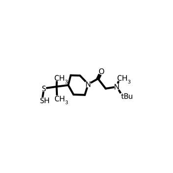 CN(CC(=O)N1CCC(C(C)(C)SS)CC1)C(C)(C)C